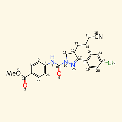 COC(=O)c1ccc(NC(=O)N2CC(CCCC#N)C(c3ccc(Cl)cc3)=N2)cc1